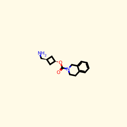 NC[C@H]1C[C@H](OC(=O)N2CCc3ccccc3C2)C1